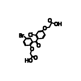 O=C(O)COc1ccc(C(=O)c2cc(Br)ccc2OCC(=O)O)c(Cl)c1